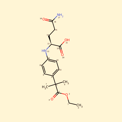 CCOC(=O)C(C)(C)c1ccc(N[C@@H](CCC(N)=O)C(=O)O)cc1